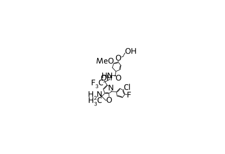 COC1=C(OCCO)C=CC(C(=O)NCC(O)(c2cc3c(c(-c4ccc(F)c(Cl)c4)n2)OCC3(C)N)C(F)(F)F)C1